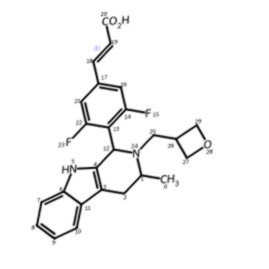 CC1Cc2c([nH]c3ccccc23)C(c2c(F)cc(/C=C/C(=O)O)cc2F)N1CC1COC1